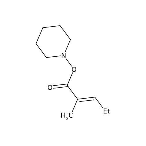 CCC=C(C)C(=O)ON1CCCCC1